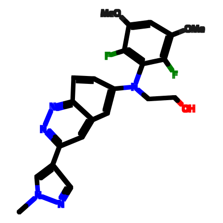 COc1cc(OC)c(F)c(N(CCO)c2ccc3nnc(-c4cnn(C)c4)cc3c2)c1F